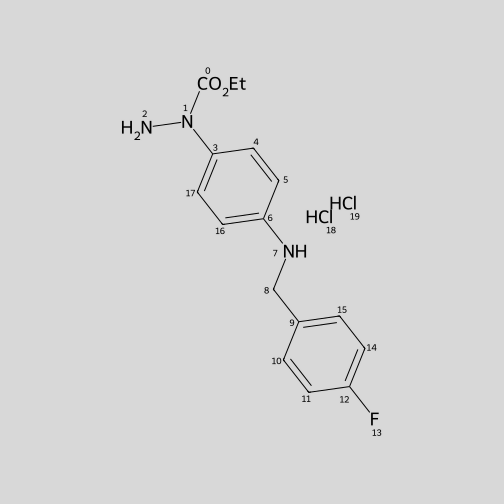 CCOC(=O)N(N)c1ccc(NCc2ccc(F)cc2)cc1.Cl.Cl